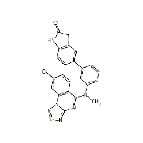 CN(c1cccc(-c2ccc3c(c2)CC(=O)N3)c1)c1nc2nncn2c2cc(Cl)ccc12